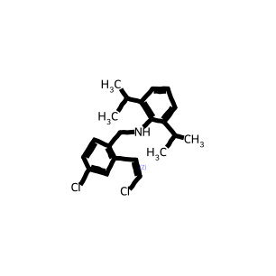 CC(C)c1cccc(C(C)C)c1NCc1ccc(Cl)cc1/C=C\Cl